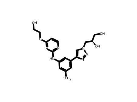 Cc1cc(Nc2nccc(OCCO)n2)cc(-c2cn(C[C@H](O)CO)nn2)c1